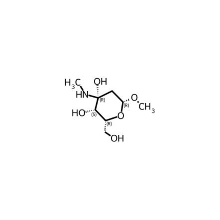 CN[C@@]1(O)C[C@H](OC)O[C@H](CO)[C@@H]1O